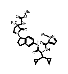 CC(C)n1nccc1C(=O)N[C@H](C(=O)Nc1ccc2c(c1)CC[C@H]2N1CC[C@@](NC(=O)OC(C)(C)C)(C(F)(F)F)C1=O)C(C1CC1)C1CC1